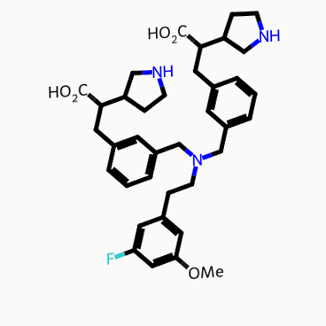 COc1cc(F)cc(CCN(Cc2cccc(CC(C(=O)O)C3CCNC3)c2)Cc2cccc(CC(C(=O)O)C3CCNC3)c2)c1